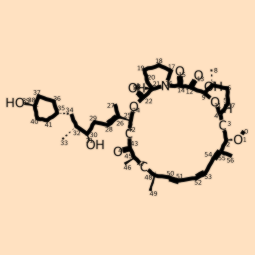 CO[C@H]1C[C@@H]2CC[C@@H](C)[C@@](O)(O2)C(=O)C(=O)N2CCCC[C@H]2C(=O)O[C@H](/C(C)=C/C[C@H](O)[C@H](C)C[C@H]2CC[C@H](O)CC2)CC(=O)[C@H](C)C[C@H](C)/C=C/C=C/C=C/1C